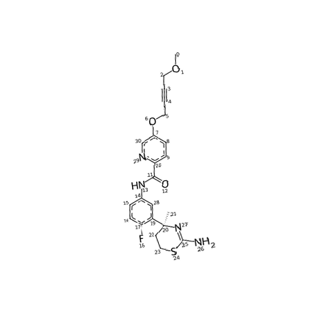 COCC#CCOc1ccc(C(=O)Nc2ccc(F)c([C@]3(C)CCSC(N)=N3)c2)nc1